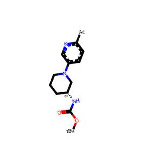 CC(=O)c1ccc(N2CCC[C@@H](NC(=O)OC(C)(C)C)C2)cn1